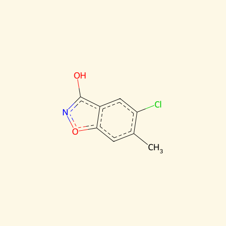 Cc1cc2onc(O)c2cc1Cl